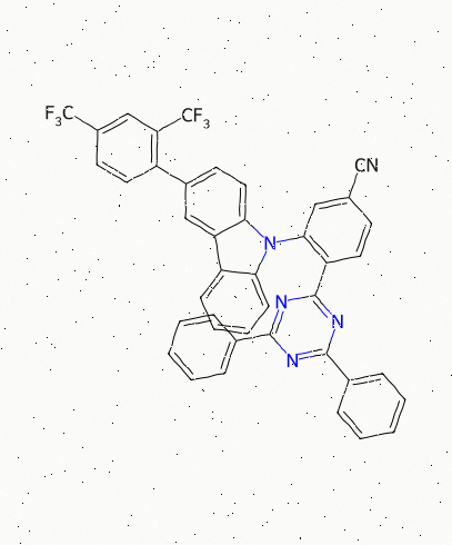 N#Cc1ccc(-c2nc(-c3ccccc3)nc(-c3ccccc3)n2)c(-n2c3ccccc3c3cc(-c4ccc(C(F)(F)F)cc4C(F)(F)F)ccc32)c1